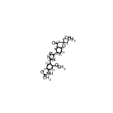 CCC1(CC)CC(=O)c2cc(-c3nc(-c4ccc(NC(C)=O)cc4OC)no3)ccc2O1